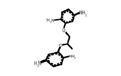 CC(COc1cc(N)ccc1N)Oc1cc(N)ccc1N